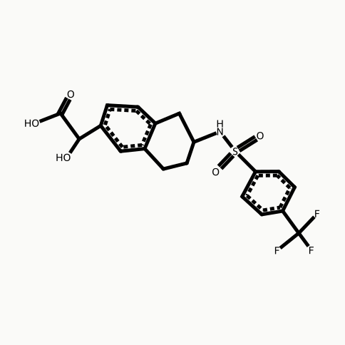 O=C(O)C(O)c1ccc2c(c1)CCC(NS(=O)(=O)c1ccc(C(F)(F)F)cc1)C2